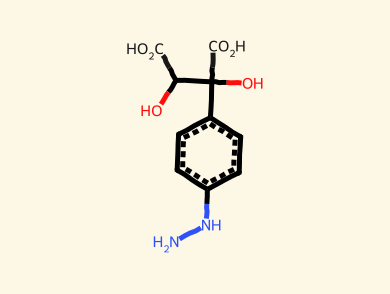 NNc1ccc(C(O)(C(=O)O)C(O)C(=O)O)cc1